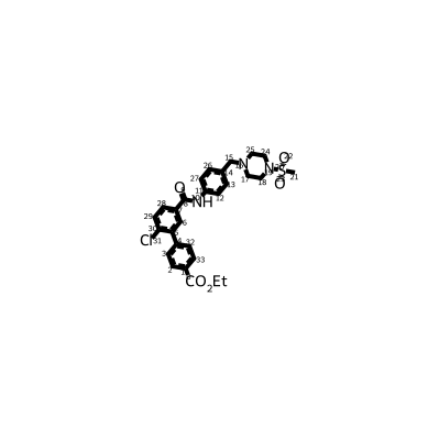 CCOC(=O)c1ccc(-c2cc(C(=O)Nc3ccc(CN4CCN(S(C)(=O)=O)CC4)cc3)ccc2Cl)cc1